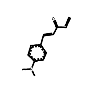 C=CC(=O)/C=C/c1ccc(N(C)C)cc1